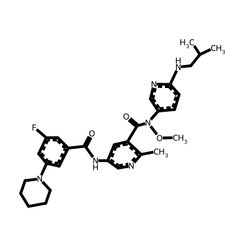 CON(C(=O)c1cc(NC(=O)c2cc(F)cc(N3CCCCC3)c2)cnc1C)c1ccc(NCC(C)C)nc1